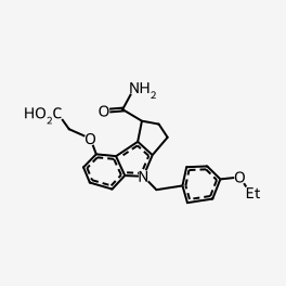 CCOc1ccc(Cn2c3c(c4c(OCC(=O)O)cccc42)C(C(N)=O)CC3)cc1